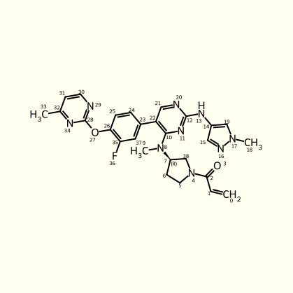 C=CC(=O)N1CC[C@@H](N(C)c2nc(Nc3cnn(C)c3)ncc2-c2ccc(Oc3nccc(C)n3)c(F)c2)C1